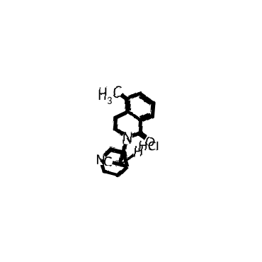 Cc1cccc2c1CCN([C@H]1CN3CCC1CC3)C2=O.Cl